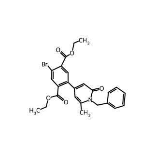 CCOC(=O)c1cc(-c2cc(C)n(Cc3ccccc3)c(=O)c2)c(C(=O)OCC)cc1Br